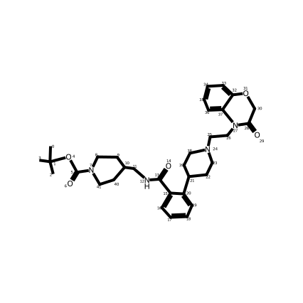 CC(C)(C)OC(=O)N1CCC(CNC(=O)c2ccccc2C2CCN(CCN3C(=O)COc4ccccc43)CC2)CC1